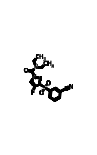 CCN(CC)C(=O)n1cc(F)c(S(=O)(=O)c2cccc(C#N)c2)n1